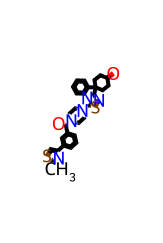 Cc1nc(-c2cccc(C(=O)N3CCN(c4nc(C5(c6ccccc6)CCC(=O)CC5)ns4)CC3)c2)cs1